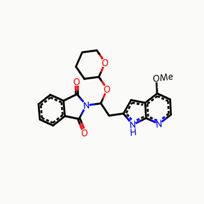 COc1ccnc2[nH]c(CC(OC3CCCCO3)N3C(=O)c4ccccc4C3=O)cc12